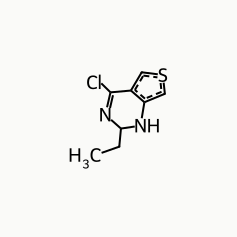 CCC1N=C(Cl)c2cscc2N1